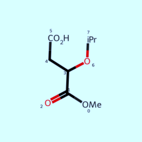 COC(=O)C(CC(=O)O)OC(C)C